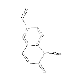 C=Cc1ccc2c(c1)C=CC(=S)C2OC(C)=O